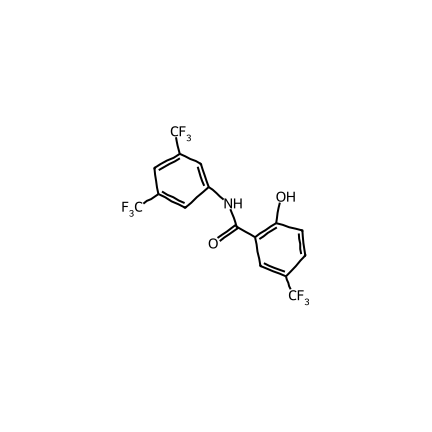 O=C(Nc1cc(C(F)(F)F)cc(C(F)(F)F)c1)c1cc(C(F)(F)F)ccc1O